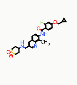 Cc1c(NC(=O)c2ccc(OCC3CC3)cc2F)ccc2cc(CNC3CCS(=O)(=O)CC3)cnc12